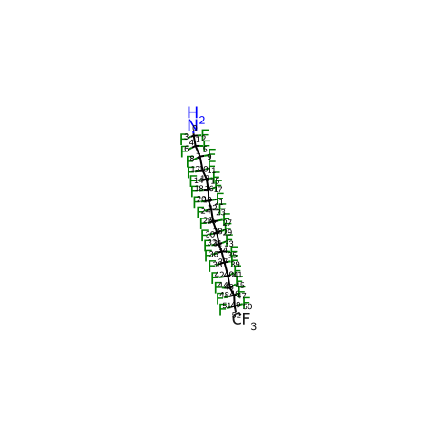 NC(F)(F)C(F)(F)C(F)(F)C(F)(F)C(F)(F)C(F)(F)C(F)(F)C(F)(F)C(F)(F)C(F)(F)C(F)(F)C(F)(F)C(F)(F)C(F)(F)C(F)(F)C(F)(F)C(F)(F)C(F)(F)F